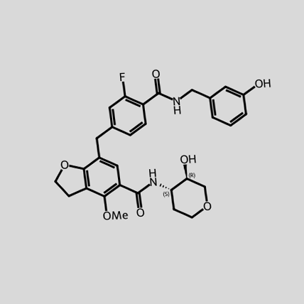 COc1c(C(=O)N[C@H]2CCOC[C@@H]2O)cc(Cc2ccc(C(=O)NCc3cccc(O)c3)c(F)c2)c2c1CCO2